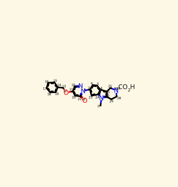 Cn1c2c(c3ccc(-n4ncc(OCc5ccccc5)cc4=O)cc31)CN(C(=O)O)CC2